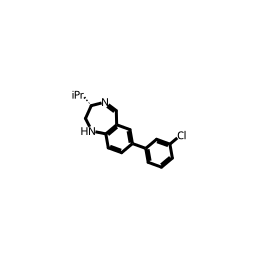 CC(C)[C@H]1CNc2ccc(-c3cccc(Cl)c3)cc2C=N1